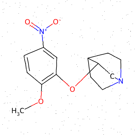 COc1ccc([N+](=O)[O-])cc1OC1CN2CCC1CC2